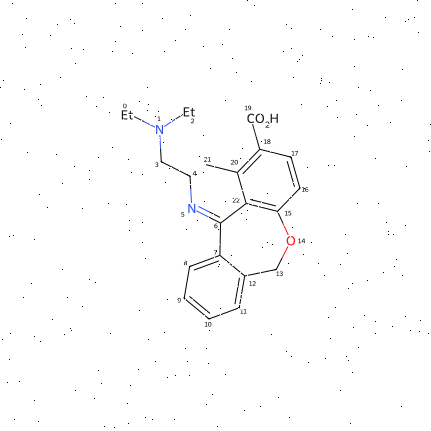 CCN(CC)CCN=C1c2ccccc2COc2ccc(C(=O)O)c(C)c21